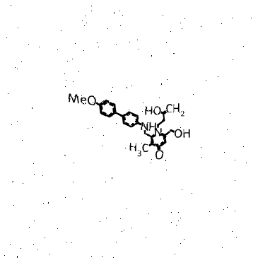 C=C(O)CCn1c(CO)cc(=O)c(C)c1CNc1ccc(-c2ccc(OC)cc2)cc1